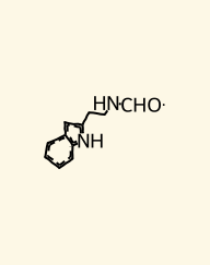 O=[C]NCCc1cc2ccccc2[nH]1